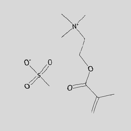 C=C(C)C(=O)OCC[N+](C)(C)C.CS(=O)(=O)[O-]